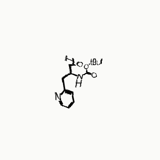 CC(C)(C)OC(=O)NC(CO)Cc1ccccn1